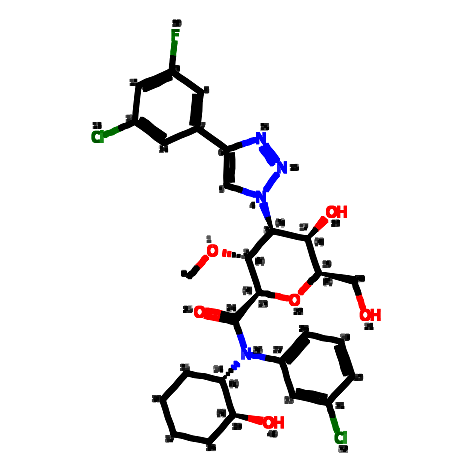 CO[C@@H]1[C@@H](n2cc(-c3cc(F)cc(Cl)c3)nn2)[C@@H](O)[C@@H](CO)O[C@H]1C(=O)N(c1cccc(Cl)c1)[C@H]1CCCC[C@@H]1O